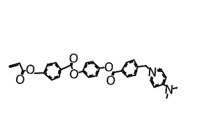 C=CC(=O)OCc1ccc(C(=O)Oc2ccc(OC(=O)c3ccc(C[n+]4ccc(N(C)C)cc4)cc3)cc2)cc1